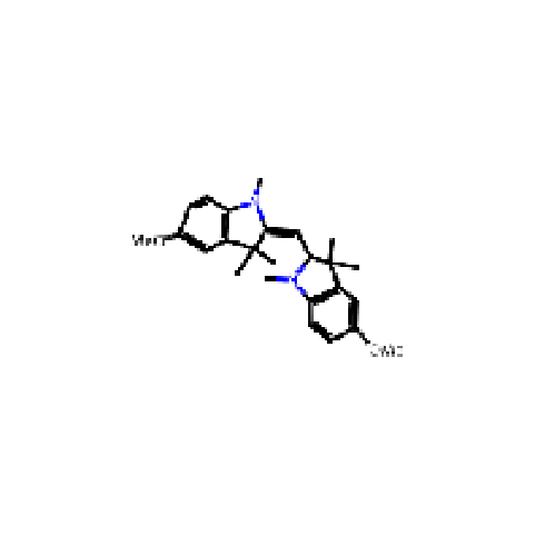 COc1ccc2c(c1)C(C)(C)C(=CC1N(C)c3ccc(OC)cc3C1(C)C)N2C